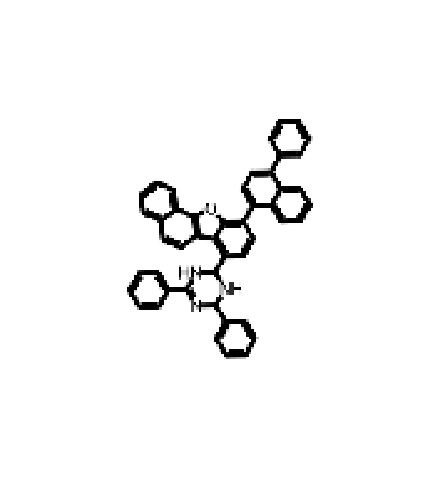 c1ccc(C2=NC(c3ccccc3)NC(c3ccc(-c4ccc(-c5ccccc5)c5ccccc45)c4oc5c6ccccc6ccc5c34)N2)cc1